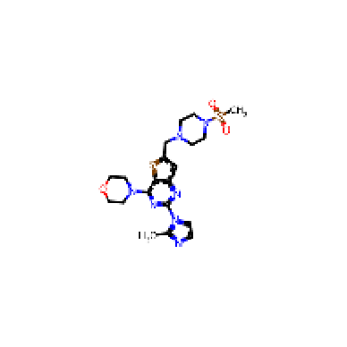 Cc1nccn1-c1nc(N2CCOCC2)c2sc(CN3CCN(S(C)(=O)=O)CC3)cc2n1